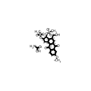 COc1ccc2c(c1)C(=O)c1cc(CO)c3c(c1C2=O)CC(OS(C)(=O)=O)C3OS(C)(=O)=O.NC(=O)O